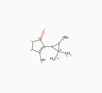 CCCCC1C(C2=C(CCC)CCC2=O)C1(C)C